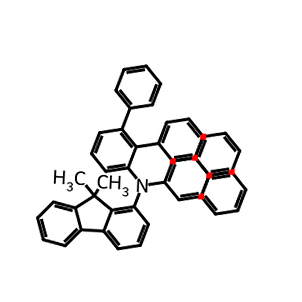 CC1(C)c2ccccc2-c2cccc(N(c3ccc4ccccc4c3)c3cccc(-c4ccccc4)c3-c3cccc(-c4ccccc4)c3)c21